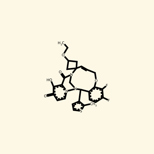 CCOC1CC2(/C=C/COc3c(ccc(F)c3F)C(c3ccsc3C)N3CN2C(=O)c2c(O)c(=O)ccn23)C1